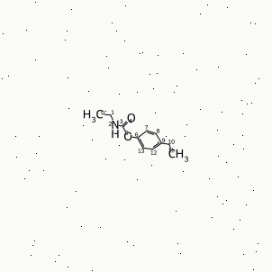 CCNC(=O)Oc1ccc(CC)cc1